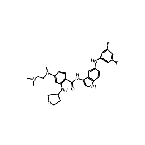 CN(C)CCN(C)c1ccc(C(=O)Nc2c[nH]c3ccc(Nc4cc(F)cc(F)c4)cc23)c(NC2CCOCC2)c1